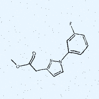 COC(=O)Cc1ccn(-c2cccc(F)c2)n1